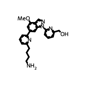 COc1cc(-c2cccc(CCCCN)n2)cc2c1cnn2-c1cccc(CO)n1